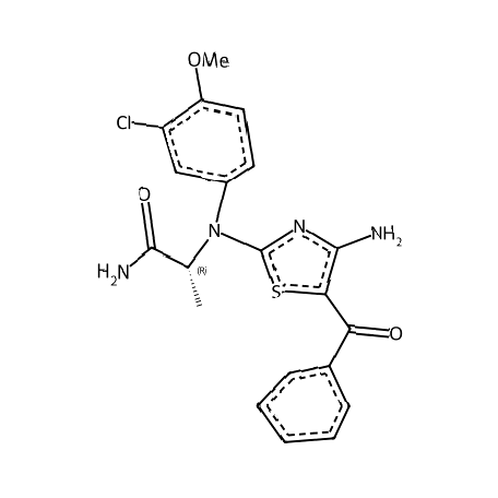 COc1ccc(N(c2nc(N)c(C(=O)c3ccccc3)s2)[C@H](C)C(N)=O)cc1Cl